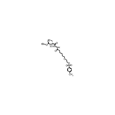 Cc1ccc(S(=O)(=O)OCCOCCCCCC(=O)NNC(=O)[C@@H](CC(C)C)NC(=O)OC(C)(C)C)cc1